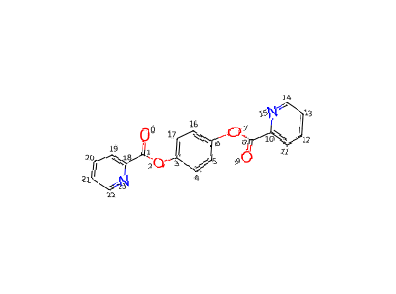 O=C(Oc1[c]cc(OC(=O)c2ccccn2)cc1)c1ccccn1